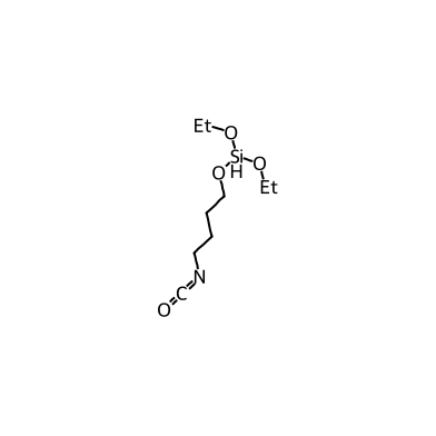 CCO[SiH](OCC)OCCCCN=C=O